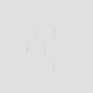 O=C(O)c1cccc2cnc(Cl)cc12